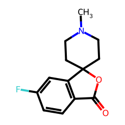 CN1CCC2(CC1)OC(=O)c1ccc(F)cc12